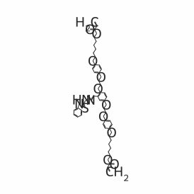 C=CC(=O)OCCCCCCOc1ccc(OCCOc2ccc(OCCOc3ccc(OCCCCCCOC(=O)C=C)cc3)c(/C=N/Nc3nc4ccccc4s3)c2)cc1